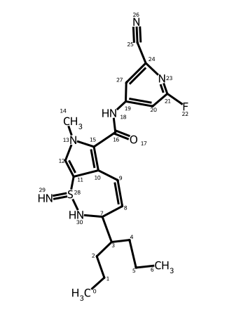 CCCC(CCC)C1C=Cc2c(cn(C)c2C(=O)Nc2cc(F)nc(C#N)c2)S(=N)N1